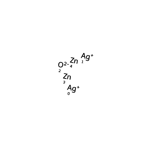 [Ag+].[Ag+].[O-2].[Zn].[Zn]